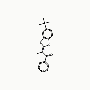 C/C(C(=O)c1ccccc1)=C1/Sc2ccc(C(C)(C)C)cc2S1